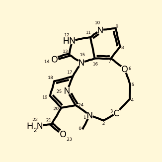 CN1CCCCOc2ccnc3[nH]c(=O)n(c23)-c2ccc(C(N)=O)c1n2